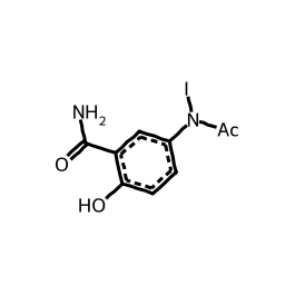 CC(=O)N(I)c1ccc(O)c(C(N)=O)c1